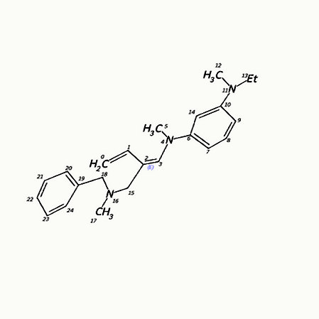 C=C/C(=C\N(C)c1cccc(N(C)CC)c1)CN(C)Cc1ccccc1